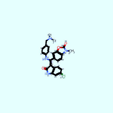 CCN(CC)Cc1ccc(N/C(=C2\C(=O)Nc3cc(Cl)ccc32)c2ccc3c(c2)oc(=O)n3C)cc1